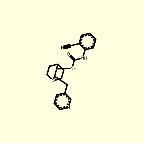 N#Cc1ccccc1NC(=O)NC1C2CCN(CC2)C1Cc1cccnc1